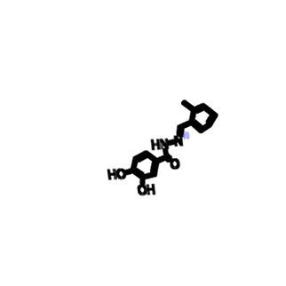 Cc1ccccc1/C=N/NC(=O)c1ccc(O)c(O)c1